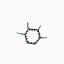 CCOC(=O)c1c(Cl)ccc(Cl)c1C(=O)O